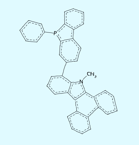 Cn1c2c(-c3ccc4c5ccccc5p(-c5ccccc5)c4c3)cccc2c2c3ccccc3c3ccccc3c21